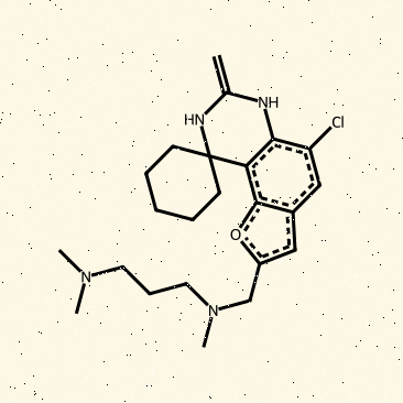 C=C1Nc2c(Cl)cc3cc(CN(C)CCCN(C)C)oc3c2C2(CCCCC2)N1